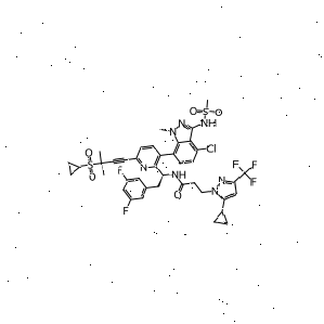 Cn1nc(NS(C)(=O)=O)c2c(Cl)ccc(-c3ccc(C#CC(C)(C)S(=O)(=O)C4CC4)nc3[C@H](Cc3cc(F)cc(F)c3)NC(=O)CCn3nc(C(F)(F)F)cc3C3CC3)c21